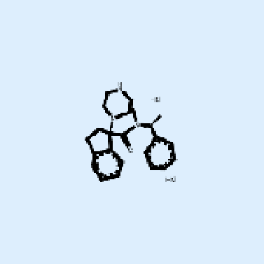 C[C@@H](c1ccccc1)N(C)C(=O)[C@@]1(N2CCNCC2)CCc2ccccc21.Cl.Cl